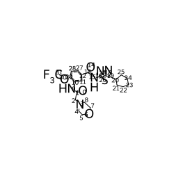 O=C(CN1CCOCC1)Nc1cc(C(=O)Nc2nnc(C3CCCCC3)s2)ccc1OC(F)(F)F